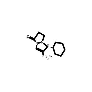 CCOC(=O)C1=CN2C(=O)CCN2[C@@H]1C1CCCCC1